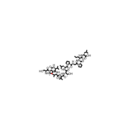 CC[C@H](C)[C@H](NC(=O)[C@@H]1CCCN1C(=O)CNC(=O)[C@@H]1CCCN1C(=O)[C@H](CC(C)C)NC(=O)[C@@H](NC(=O)[C@@H](NC(=O)[C@@H](NC(=O)[C@@H](NC(=O)[C@@H]1CCCN1C(=O)[C@@H](N)CO)C(C)C)C(C)C)C(C)C)[C@@H](C)O)C(=O)N[C@@H](CC(C)C)C(=O)O